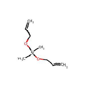 C=CCO[Si](C)(C)OCC=C